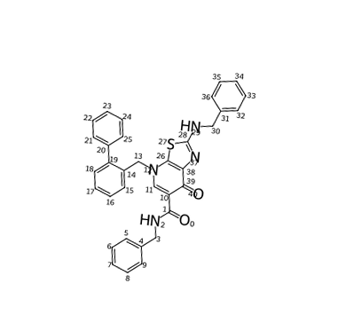 O=C(NCc1ccccc1)c1cn(Cc2ccccc2-c2ccccc2)c2sc(NCc3ccccc3)nc2c1=O